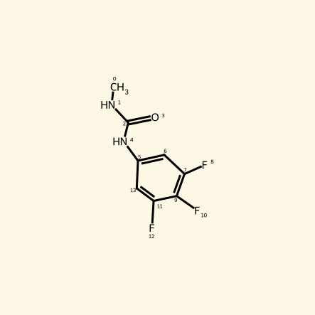 CNC(=O)Nc1cc(F)c(F)c(F)c1